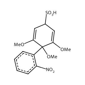 COC1=CC(S(=O)(=O)O)C=C(OC)C1(OC)c1ccccc1[N+](=O)[O-]